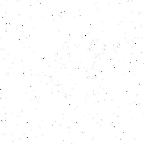 CNCc1cc(-c2ccccc2)n(S(=O)(=O)c2cccnn2)c1.O=C(O)C=CC(=O)O